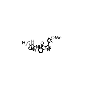 COc1ccc(C2=C3C(=O)c4c(NC(=O)NN(C)C)cccc4C3N=N2)s1